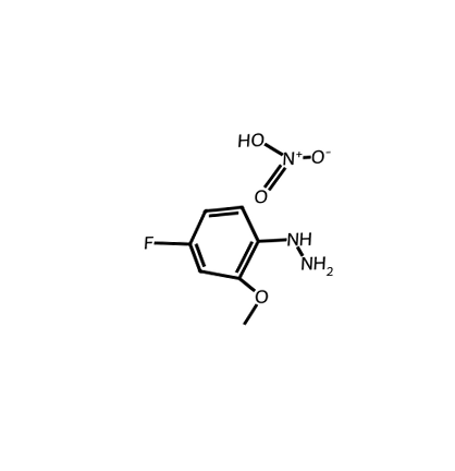 COc1cc(F)ccc1NN.O=[N+]([O-])O